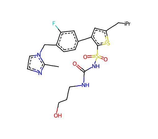 Cc1nccn1Cc1ccc(-c2cc(CC(C)C)sc2S(=O)(=O)NC(=O)NCCCO)cc1F